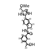 COCC1NC(c2ccc3c(c2)CC[C@H]3NC(=O)c2cccc(C(C)O)c2)NO1